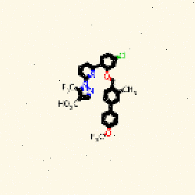 Cc1cc(-c2ccc(OC(F)(F)F)cc2)ccc1COc1cc(Cl)ccc1-c1cccc(-n2ncc(C(=O)O)c2C(F)(F)F)n1